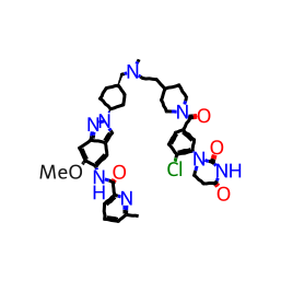 COc1cc2nn([C@H]3CC[C@H](CN(C)CCC4CCN(C(=O)c5ccc(Cl)c(N6CCC(=O)NC6=O)c5)CC4)CC3)cc2cc1NC(=O)c1cccc(C)n1